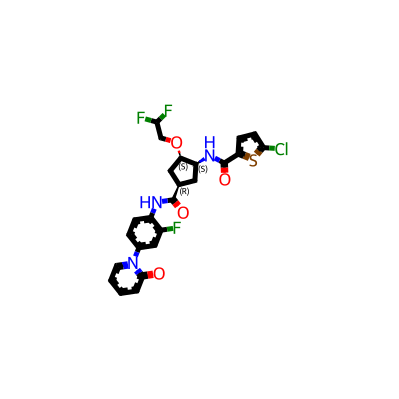 O=C(N[C@H]1C[C@@H](C(=O)Nc2ccc(-n3ccccc3=O)cc2F)C[C@@H]1OCC(F)F)c1ccc(Cl)s1